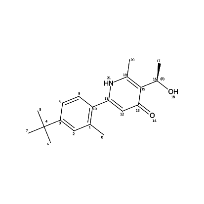 Cc1cc(C(C)(C)C)ccc1-c1cc(=O)c([C@@H](C)O)c(C)[nH]1